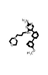 COc1cccc(-c2cccc(-c3cnc(N)nc3NCCCN3CCOCC3)c2)c1